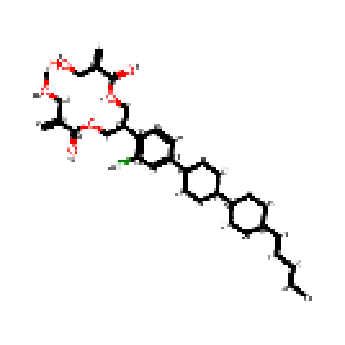 C=C(CO)C(=O)OCC(COC(=O)C(=C)COC)c1ccc(C2CCC(C3CCC(CCCCC)CC3)CC2)cc1F